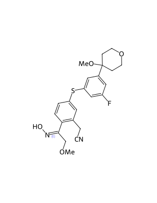 COC/C(=N/O)c1ccc(Sc2cc(F)cc(C3(OC)CCOCC3)c2)cc1CC#N